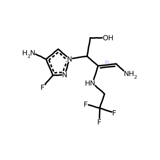 N/C=C(\NCC(F)(F)F)C(CO)n1cc(N)c(F)n1